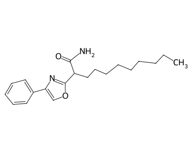 CCCCCCCCCC(C(N)=O)c1nc(-c2ccccc2)co1